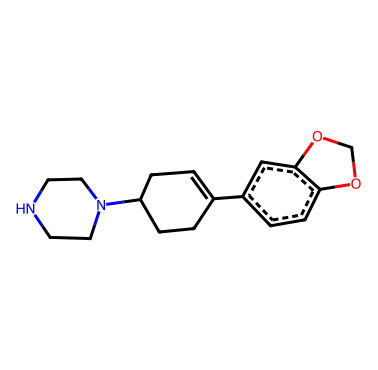 C1=C(c2ccc3c(c2)OCO3)CCC(N2CCNCC2)C1